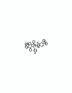 Cc1ccc(C(=O)C2=C(O)C(=O)N(c3nc4ccc(S(C)(=O)=O)cc4s3)C2c2ccsc2)o1